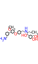 CCCC(NCCc1ccc(Oc2ccc(OC)c(-c3cccc(CN)c3)c2)cc1)C(O)c1ccc(O)c(CO)c1